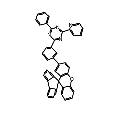 c1ccc(-c2nc(-c3cccc(-c4ccc5c(c4)C4(c6ccccc6O5)c5ccccc5-c5ccccc54)c3)nc(-c3ccccn3)n2)cc1